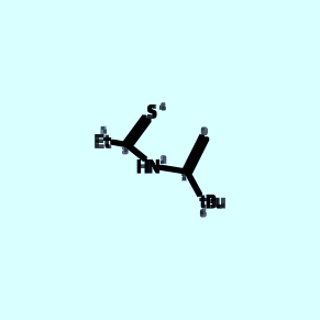 C=C(NC(=S)CC)C(C)(C)C